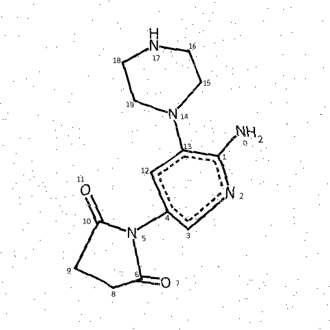 Nc1ncc(N2C(=O)CCC2=O)cc1N1CCNCC1